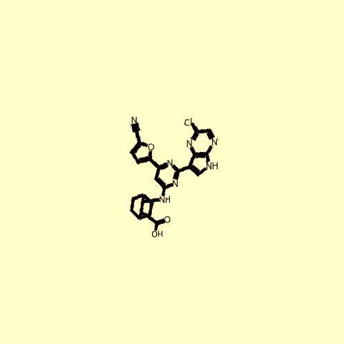 N#Cc1ccc(-c2cc(NC3C4CCC(CC4)C3C(=O)O)nc(-c3c[nH]c4ncc(Cl)nc34)n2)o1